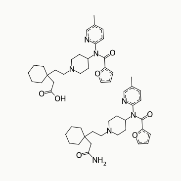 Cc1ccc(N(C(=O)c2ccco2)C2CCN(CCC3(CC(=O)O)CCCCC3)CC2)nc1.Cc1ccc(N(C(=O)c2ccco2)C2CCN(CCC3(CC(N)=O)CCCCC3)CC2)nc1